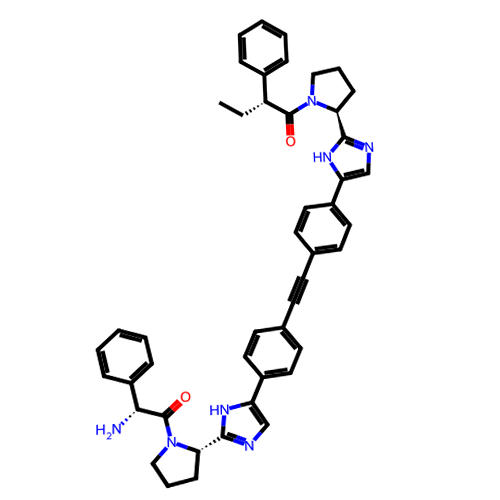 CC[C@@H](C(=O)N1CCC[C@H]1c1ncc(-c2ccc(C#Cc3ccc(-c4cnc([C@@H]5CCCN5C(=O)[C@H](N)c5ccccc5)[nH]4)cc3)cc2)[nH]1)c1ccccc1